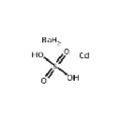 O=S(=O)(O)O.[BaH2].[Cd]